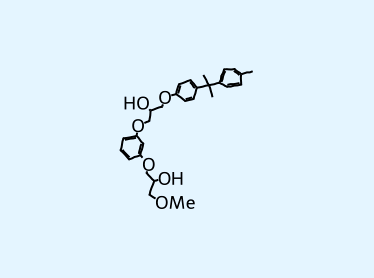 COCC(O)COc1cccc(OCC(O)COc2ccc(C(C)(C)c3ccc(C)cc3)cc2)c1